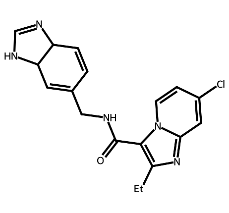 CCc1nc2cc(Cl)ccn2c1C(=O)NCC1=CC2NC=NC2C=C1